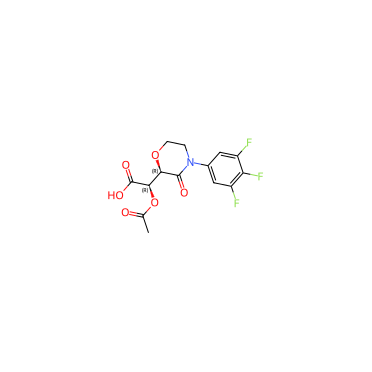 CC(=O)O[C@@H](C(=O)O)[C@H]1OCCN(c2cc(F)c(F)c(F)c2)C1=O